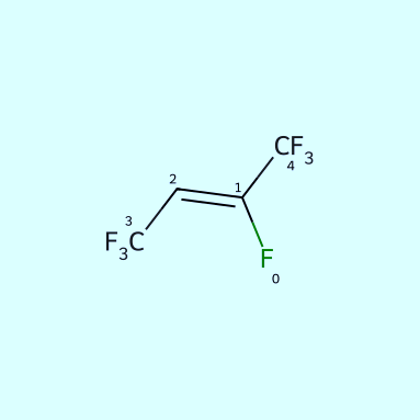 FC(=CC(F)(F)F)C(F)(F)F